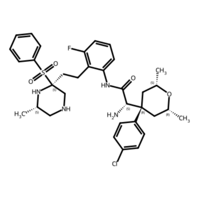 C[C@@H]1C[C@](c2ccc(Cl)cc2)([C@H](N)C(=O)Nc2cccc(F)c2CC[C@]2(S(=O)(=O)c3ccccc3)CNC[C@H](C)N2)C[C@H](C)O1